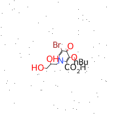 CCCCOc1c(C(=O)O)n(CC(O)CO)cc(Br)c1=O